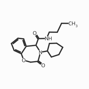 CCCCNC(=O)C1c2ccccc2OCC(=O)N1C1CCCCC1